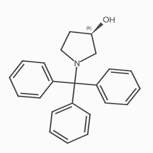 O[C@@H]1CCN(C(c2ccccc2)(c2ccccc2)c2ccccc2)C1